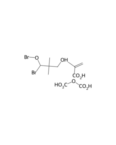 C=C(C)C(=O)O.CC(C)(CO)C(Br)OBr.O=C(O)OC(=O)O